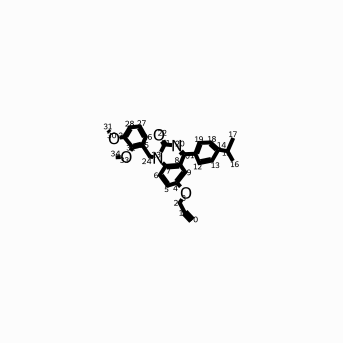 C#CCOc1ccc2c(c1)c(-c1ccc(C(C)C)cc1)nc(=O)n2Cc1cccc(OC)c1OC